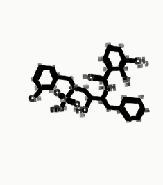 CCCCS(=O)(=O)N(Cc1cccc(Cl)c1)CC(O)C(Cc1ccccc1)NC(=O)c1cccc(C)c1Br